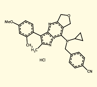 COc1ccc(-c2c(C)nn3c(N(Cc4ccc(C#N)cc4)C4CC4)c4c(nc23)COC4)c(C)c1.Cl